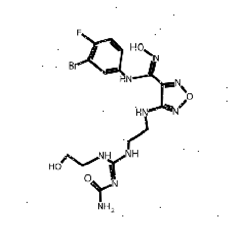 NC(=O)/N=C(\NCCO)NCCNc1nonc1/C(=N/O)Nc1ccc(F)c(Br)c1